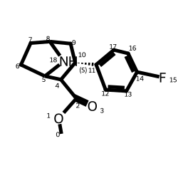 COC(=O)C1C2CCC(C[C@@H]1c1ccc(F)cc1)N2